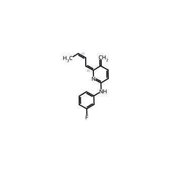 C=c1ccc(Nc2cccc(F)c2)n/c1=C/C=C\C